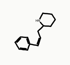 C(=C/c1ccccc1)/CC1CCCCN1